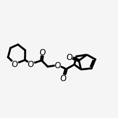 O=C(COC(=O)C1CC2C=CC1C2=O)OC1CCCCO1